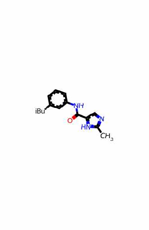 CCC(C)c1cccc(NC(=O)c2cnc(C)[nH]2)c1